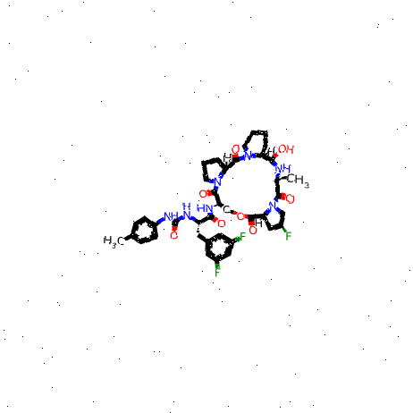 Cc1ccc(NC(=O)N[C@@H](Cc2cc(F)cc(F)c2)C(=O)N[C@H]2COC(=O)[C@@H]3C[C@H](F)CN3C(=O)[C@H](C)NC(O)[C@@H]3CCCCN3C(=O)[C@@H]3CCCN3C2=O)cc1